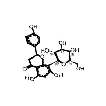 O=C1CC(c2ccc(O)cc2)Oc2c1c(O)cc(O)c2[C@@H]1O[C@H](CO)[C@@H](O)[C@H](O)[C@H]1O